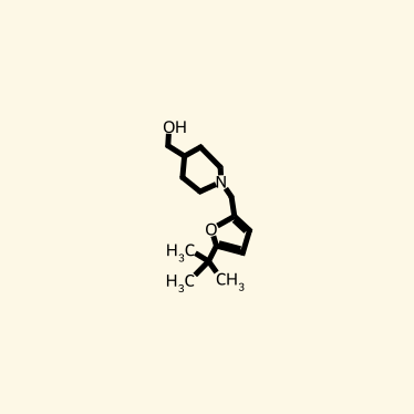 CC(C)(C)c1ccc(CN2CCC(CO)CC2)o1